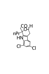 CCCC1(CC(=O)O)OCCc2c1[nH]c1c(Cl)cc(Cl)cc21